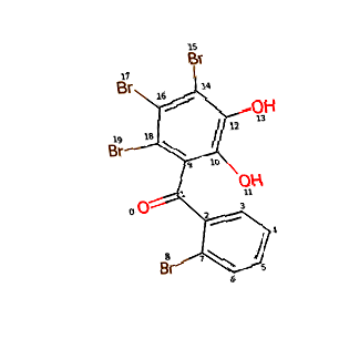 O=C(c1ccccc1Br)c1c(O)c(O)c(Br)c(Br)c1Br